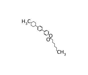 CCCCCCCC(=O)Oc1ccc(-c2ccc(C3CCC(C)CC3)cc2)cc1